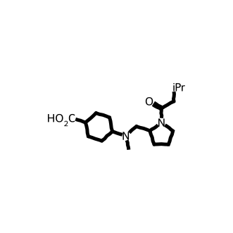 CC(C)CC(=O)N1CCCC1CN(C)C1CCC(C(=O)O)CC1